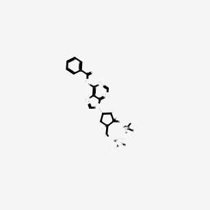 CC(C)[Si]1(C(C)C)OC[C@H]2C[C@@H](n3cnc4c(NC(=O)c5ccccc5)ncnc43)[C@H](F)[C@@H]2O[Si](C(C)C)(C(C)C)O1